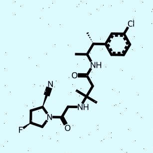 CC(NC(=O)CC(C)(C)NCC(=O)N1C[C@@H](F)C[C@H]1C#N)[C@H](C)c1cccc(Cl)c1